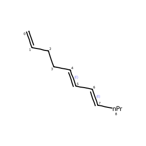 [CH]=CCC/C=C/C=C/CCC